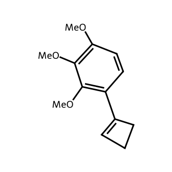 COc1ccc(C2=CCC2)c(OC)c1OC